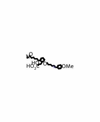 COc1ccc(/C=C/CCCCOc2cccc(C(O)CCCCC(=O)N(C)C)c2CCC(=O)O)cc1